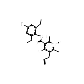 C=CCc1c(Br)c(C(=O)Nc2c(CC)cc(F)cc2CC)c(C)[n+]([O-])c1C